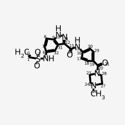 C=CS(=O)(=O)Nc1ccc2[nH]nc(C(=O)Nc3ccc(C(=O)N4CCN(C)CC4)cc3)c2c1